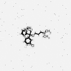 CCC(OCCCN(C)C)(c1cccc(Cl)c1)c1nccn1C